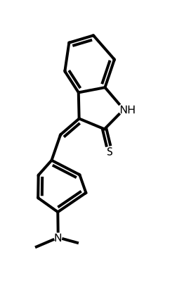 CN(C)c1ccc(/C=C2\C(=S)Nc3ccccc32)cc1